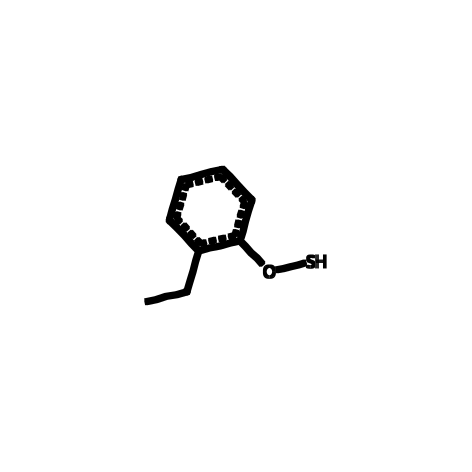 CCc1ccccc1OS